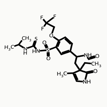 CCC1(CC(NC=O)c2ccc(OCC(F)(F)F)c(S(=O)(=O)NC(=S)NC(C)C)c2)C(=O)NC=C1C